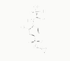 C[C@@](O)(C(=O)Nc1ccc(S(=O)(=O)NC2CC2)cc1Cl)C(F)(F)F